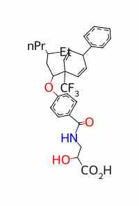 CCCC(CC)CC(Oc1ccc(C(=O)NCC(O)C(=O)O)cc1)C1(C(F)(F)F)C=CC(c2ccccc2)C=C1